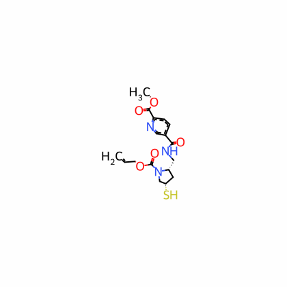 C=CCOC(=O)N1C[C@@H](S)C[C@H]1CNC(=O)c1ccc(C(=O)OC)nc1